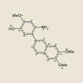 COc1cc(N)c(-c2ccc3cc(OC)c(OC)cc3c2)cc1O